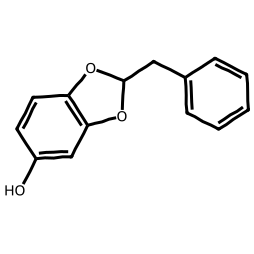 Oc1ccc2c(c1)OC(Cc1ccccc1)O2